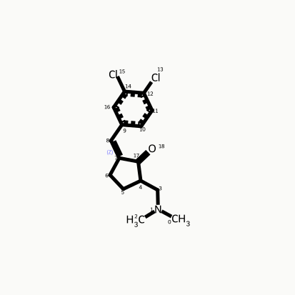 CN(C)CC1CC/C(=C/c2ccc(Cl)c(Cl)c2)C1=O